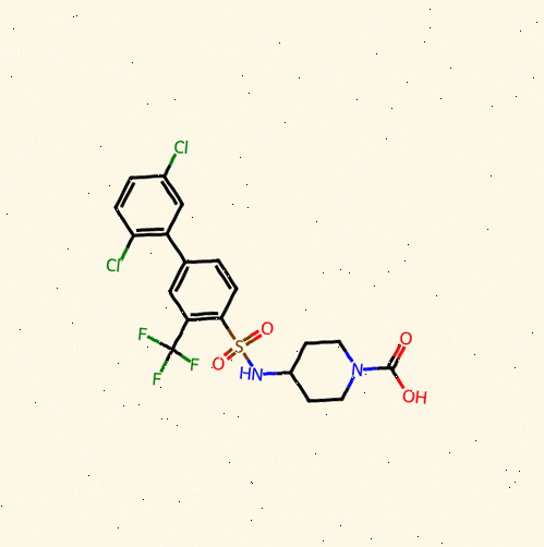 O=C(O)N1CCC(NS(=O)(=O)c2ccc(-c3cc(Cl)ccc3Cl)cc2C(F)(F)F)CC1